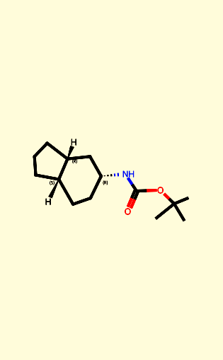 CC(C)(C)OC(=O)N[C@@H]1CC[C@@H]2CCC[C@@H]2C1